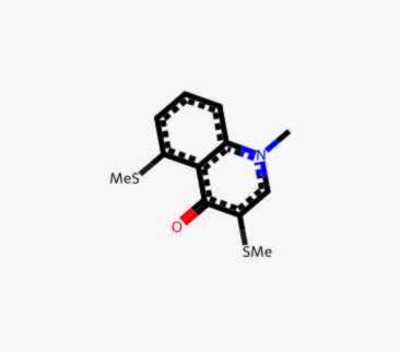 CSc1cn(C)c2cccc(SC)c2c1=O